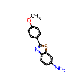 COc1ccc(-c2nc3ccc(N)cc3s2)cc1